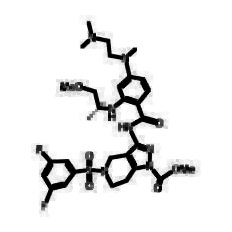 COC[C@@H](C)Nc1cc(N(C)CCN(C)C)ccc1C(=O)Nc1nn(C(=O)OC)c2c1CN(S(=O)(=O)c1cc(F)cc(F)c1)CC2